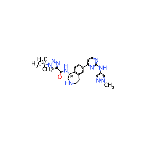 Cn1cc(Nc2nccc(-c3ccc4c(c3)CCNC[C@@H]4NC(=O)c3cn(C(C)(C)C)nn3)n2)cn1